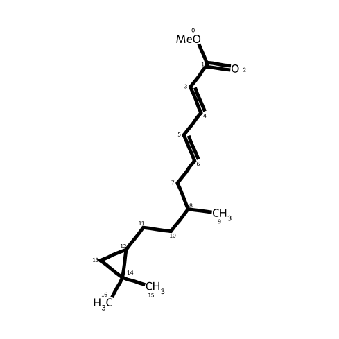 COC(=O)C=CC=CCC(C)CCC1CC1(C)C